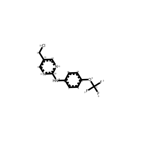 FC(F)(F)Oc1ccc(Nc2ncc(CCl)cn2)cc1